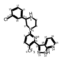 FC(F)(F)c1ccc(N2CCNC(c3cccc(Cl)c3)C2)nc1-c1n[nH]c2ncccc12